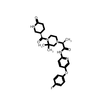 C[C@@H](C(=O)Nc1ccc(Oc2ccc(F)cc2)cn1)N1CCN(C(=O)[C@@H]2CCC(=O)NC2)C(C)(C)C1